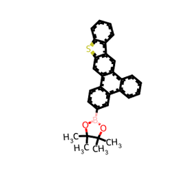 CC1(C)OB(c2ccc3c(c2)c2ccccc2c2cc4c(cc32)sc2ccccc24)OC1(C)C